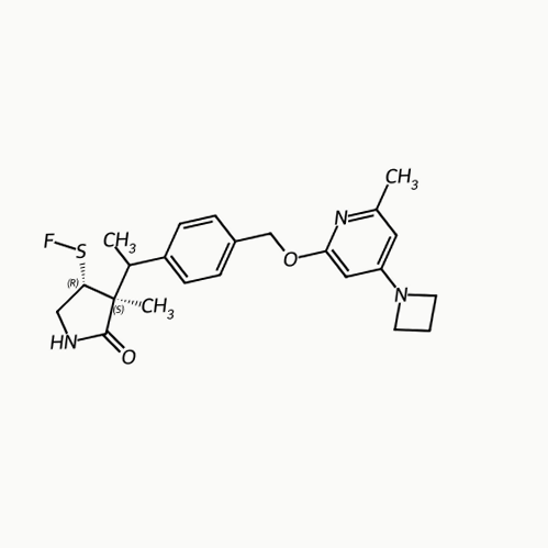 Cc1cc(N2CCC2)cc(OCc2ccc(C(C)[C@@]3(C)C(=O)NC[C@@H]3SF)cc2)n1